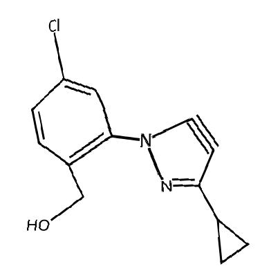 OCc1ccc(Cl)cc1-n1c#cc(C2CC2)n1